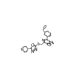 O=Cc1cccc(-c2noc(CSc3nnc(-c4ccncc4)o3)n2)c1